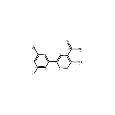 Nc1ccc(-c2cc(Cl)cc(Cl)c2)cc1C(=O)O